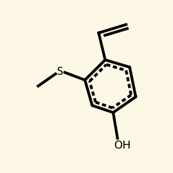 C=Cc1ccc(O)cc1SC